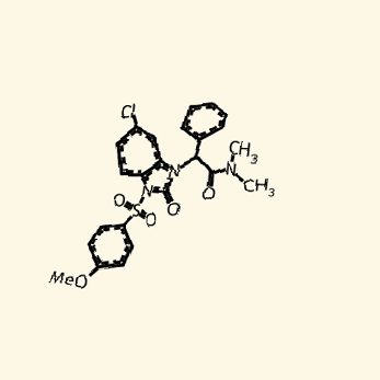 COc1ccc(S(=O)(=O)n2c(=O)n(C(C(=O)N(C)C)c3ccccc3)c3cc(Cl)ccc32)cc1